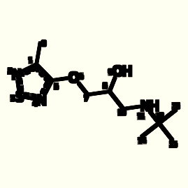 Cc1nsnc1OCC(O)CNC(C)(C)C